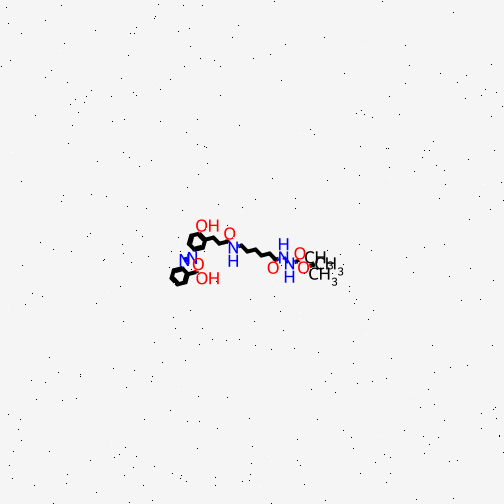 CC(C)(C)OC(=O)NNC(=O)CCCCCNC(=O)CCc1cc(/N=N/c2ccccc2C(=O)O)ccc1O